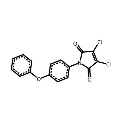 O=C1C(Cl)=C(Cl)C(=O)N1c1ccc(Oc2ccccc2)cc1